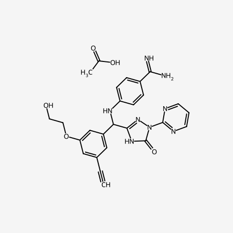 C#Cc1cc(OCCO)cc(C(Nc2ccc(C(=N)N)cc2)c2nn(-c3ncccn3)c(=O)[nH]2)c1.CC(=O)O